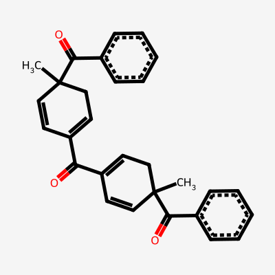 CC1(C(=O)c2ccccc2)C=CC(C(=O)C2=CCC(C)(C(=O)c3ccccc3)C=C2)=CC1